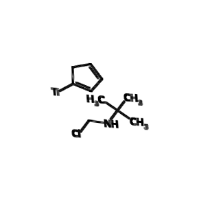 CC(C)(C)NCCl.[Ti][C]1=CC=CC1